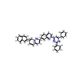 c1ccc(-c2cc(-c3ccc4ccc(-c5ccc6ccc(-c7ccc8ccccc8c7)cc6n5)cc4n3)nc(-c3ccccc3)n2)cc1